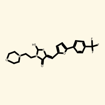 O=C1/C(=C/c2ccc(-c3ccc(C(F)(F)F)cc3)o2)SC(S)N1CCN1CCOCC1